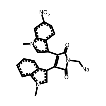 Cn1cc(C2=C(c3cn(C)c4cc([N+](=O)[O-])ccc34)C(=O)N([CH2][Na])C2=O)c2ccccc21